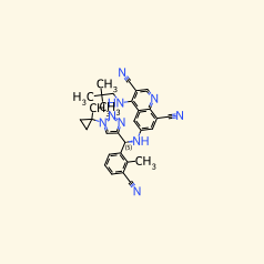 Cc1c(C#N)cccc1[C@H](Nc1cc(C#N)c2ncc(C#N)c(NCC(C)(C)C)c2c1)c1cn(C2(C)CC2)nn1